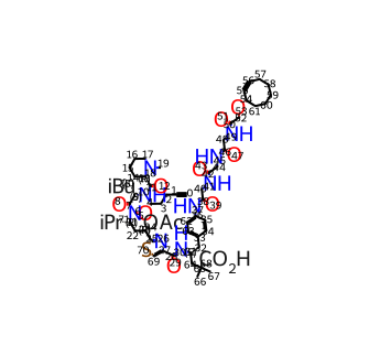 C#CCCCON(C(=O)[C@@H](NC(=O)[C@H]1CCCCN1C)[C@@H](C)CC)[C@H](C[C@@H](OC(C)=O)c1nc(C(=O)N[C@@H](Cc2ccc(NC(=O)CNC(=O)CNC(=O)CNC(=O)COC3C#CCCCCC3)cc2)CC(C)(C)C(=O)O)cs1)C(C)C